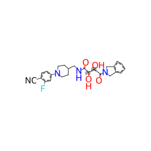 N#Cc1ccc(N2CCC(CNC(=O)[C@H](O)[C@@H](O)C(=O)N3Cc4ccccc4C3)CC2)cc1F